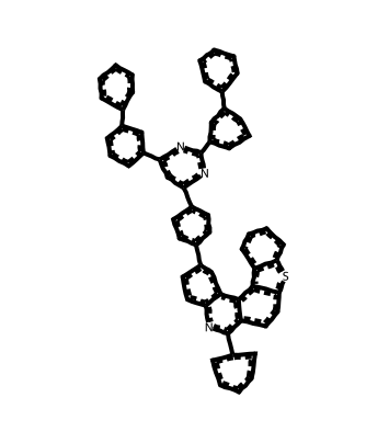 c1ccc(-c2cccc(-c3cc(-c4ccc(-c5ccc6nc(-c7ccccc7)c7ccc8sc9ccccc9c8c7c6c5)cc4)nc(-c4cccc(-c5ccccc5)c4)n3)c2)cc1